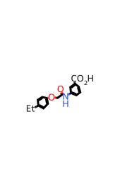 CCc1ccc(OCC(=O)Nc2cccc(C(=O)O)c2)cc1